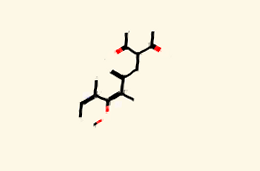 C=C(CC(C(C)=O)C(C)=O)/C(C)=C(OC)\C(C)=C/C